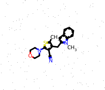 Cc1sc(N2CCOCC2)c(C#N)c1Cc1cc2ccccc2n1C